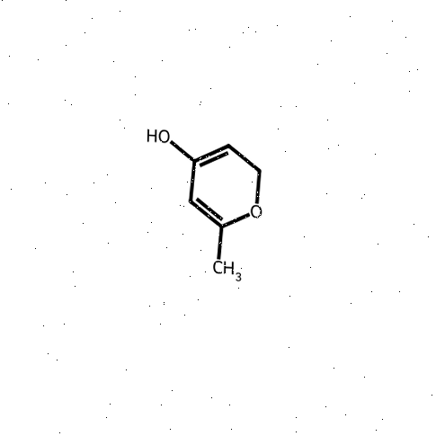 CC1=CC(O)=CCO1